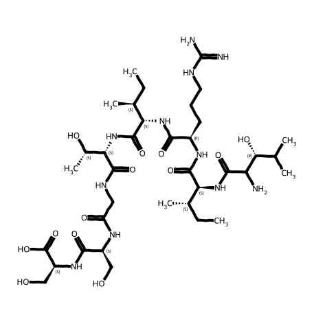 CC[C@H](C)[C@H](NC(=O)C(N)[C@H](O)C(C)C)C(=O)N[C@H](CCCNC(=N)N)C(=O)N[C@H](C(=O)N[C@H](C(=O)NCC(=O)N[C@@H](CO)C(=O)N[C@@H](CO)C(=O)O)[C@H](C)O)[C@@H](C)CC